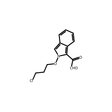 O=CC(=O)c1c2ccccc2cn1OCCCCl